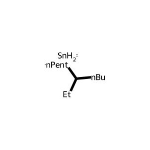 CCCC[CH]C(CC)CCCC.[SnH2]